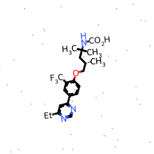 CCc1cc(-c2ccc(OC[C@@H](C)CC(C)(C)NC(=O)O)c(C(F)(F)F)c2)ncn1